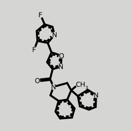 CC1(c2cccnc2)CN(C(=O)c2cc(-c3ncc(F)cc3F)on2)Cc2ccccc21